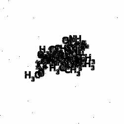 CO[n+]1ccc2c(c1)C(=O)N(C[C@@H](NC(=O)N[C@H](C(=O)N1C[C@H]3[C@@H]([C@H]1C(=O)NC(CC1CCC1)C(=O)C(N)=O)C3(C)C)C(C)(C)C)C(C)(C)C)C2=O